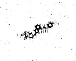 Cc1ccc(NC(=O)Nc2cccc3c2CC(CN2CCN(C(=O)N(C)C)CC2)C3)cn1